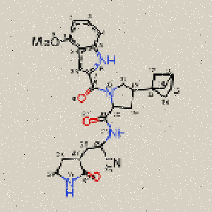 COc1cccc2[nH]c(C(=O)N3CC(C45CCC(C4)C5)CC3C(=O)NC(C#N)CC3CCNC3=O)cc12